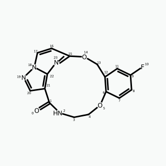 O=C1NCCOc2ccc(F)cc2COc2ccn3ncc1c3n2